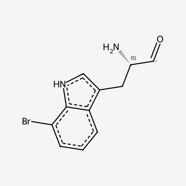 N[C@H]([C]=O)Cc1c[nH]c2c(Br)cccc12